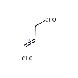 O=C/C=C/CC=O